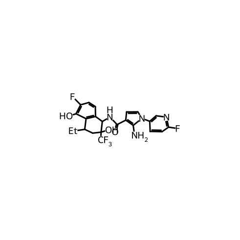 CCC1CC(O)(C(F)(F)F)C(NC(=O)c2ccn(-c3ccc(F)nc3)c2N)c2ccc(F)c(O)c21